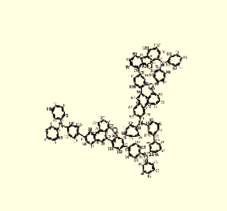 c1ccc(N(c2ccccc2)c2ccc(-c3ccc4cc5c6c(cccc6c4c3)Oc3cc(-c4ccc(N(c6ccccc6)c6cccc(-c7cccc(N(c8ccccc8)c8ccc9cc%10c%11c(cccc%11c9c8)Oc8cc(-c9cccc%11c9oc9c(N(c%12ccccc%12)c%12ccccc%12)cccc9%11)ccc8-%10)c7)c6)cc4)ccc3-5)cc2)cc1